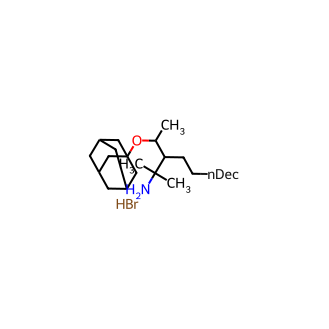 Br.CCCCCCCCCCCCC(C(C)OC12CC3CC(CC(C3)C1)C2)C(C)(C)N